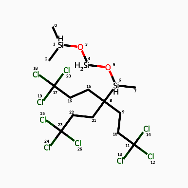 C[SiH](C)O[SiH2]O[SiH](C)C(CCC(Cl)(Cl)Cl)(CCC(Cl)(Cl)Cl)CCC(Cl)(Cl)Cl